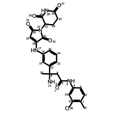 Cc1ccc(NC(=O)CC(C)(N)c2cccc(NC3=CC(=O)N(C4CCC(=O)NC4=O)C3=O)c2)cc1Cl